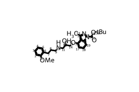 COc1ccccc1CCCNC[C@H](O)COc1cccc2c1c(C)nn2C(=O)OC(C)(C)C